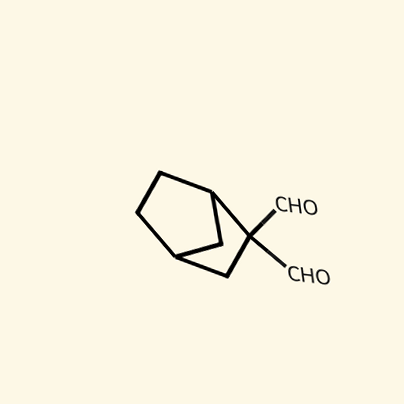 O=CC1(C=O)CC2CCC1C2